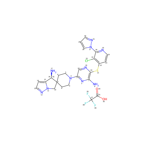 Nc1nc(N2CCC3(CC2)Cn2nccc2[C@H]3N)cnc1Sc1ccnc(-n2cccn2)c1Cl.O=C(O)C(F)(F)F